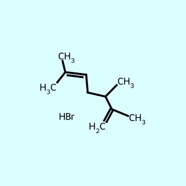 Br.C=C(C)C(C)CC=C(C)C